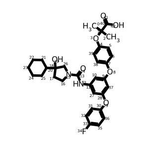 CC(C)(Oc1ccc(Oc2cc(NC(=O)N3CCC(O)(C4CCCCC4)C3)cc(Oc3ccc(F)cc3)c2)cc1)C(=O)O